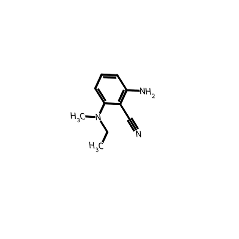 CCN(C)c1cccc(N)c1C#N